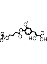 COc1cc(C=C(O)C(=O)O)ccc1OC(=O)CCCO[N+](=O)[O-]